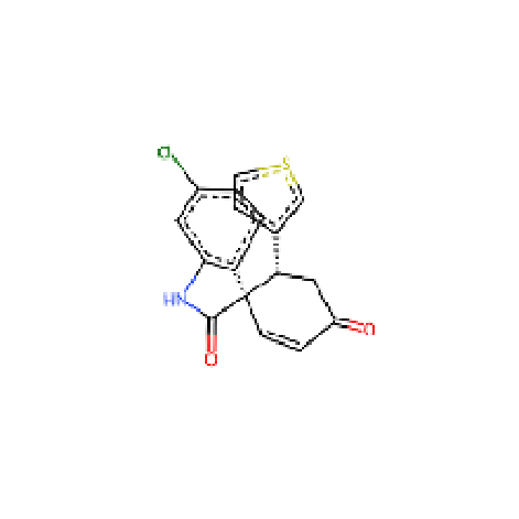 O=C1C=C[C@@]2(C(=O)Nc3cc(Cl)ccc32)[C@H](c2ccsc2)C1